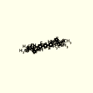 COC(=O)N[C@H](C(=O)N1CCC[C@H]1c1nc2cc(F)c(-c3ccc(-c4cc5[nH]c([C@@H]6CCCN6C(=O)[C@@H](NC(=O)OC)C(C)C)nc5cc4F)cc3)cc2[nH]1)C(C)C